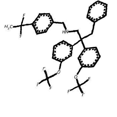 CC(F)(F)c1ccc(CNCC(Cc2ccccc2)(c2cccc(OC(F)(F)F)c2)c2cccc(OC(F)(F)F)c2)cc1